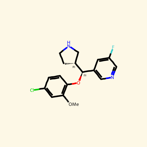 COc1cc(Cl)ccc1O[C@H](c1cncc(F)c1)[C@@H]1CCNC1